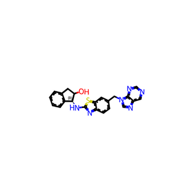 OC1Cc2ccccc2[C@H]1Nc1nc2ccc(Cn3cnc4cncnc43)cc2s1